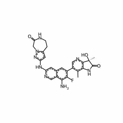 Cc1c(-c2cc3cc(Nc4cc5n(n4)CC(=O)NCC5)ncc3c(N)c2F)cnc2c1NC(=O)[C@]2(C)O